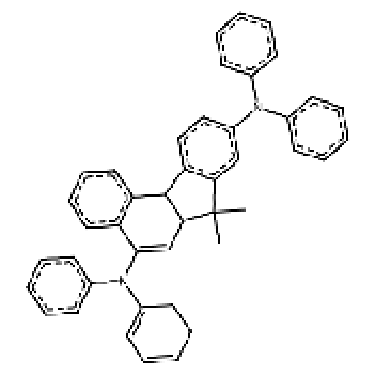 CC1(C)c2cc(N(c3ccccc3)c3ccccc3)ccc2C2c3ccccc3C(N(C3=CC=CCC3)c3ccccc3)=CC21